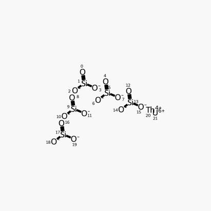 O=[Si]([O-])[O-].O=[Si]([O-])[O-].O=[Si]([O-])[O-].O=[Si]([O-])[O-].O=[Si]([O-])[O-].[Th+4].[U+6]